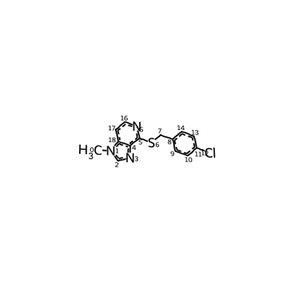 Cn1cnc2c(SCc3ccc(Cl)cc3)nccc21